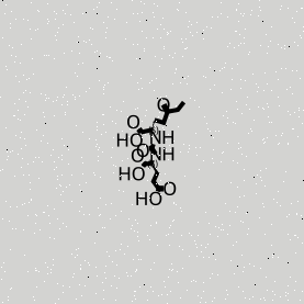 CCC(=O)CC[C@H](NC(=O)N[C@@H](CCC(=O)O)C(=O)O)C(=O)O